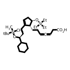 CC[Si](CC)(CC)O[C@H]1CC=C(CC[C@H](O[Si](C)(C)C(C)(C)C)C2CCCCC2)[C@H]1CCC=C=CCC(=O)O